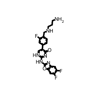 NCCCNCc1ccc(-c2c[nH]c(Nc3nc4cc(F)c(F)cc4o3)nc2=O)cc1F